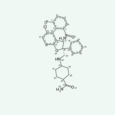 NC(=O)c1cccc(F)c1-c1c(Cl)ccc2c1C[C@@](CNC1CCC(C(N)=O)CC1)(c1ccccc1)O2